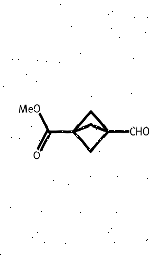 COC(=O)C12CC(C=O)(C1)C2